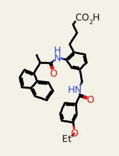 CCOc1cccc(C(=O)NCc2ccc(CCCC(=O)O)c(NC(=O)C(C)c3cccc4ccccc34)c2)c1